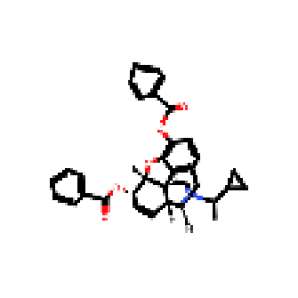 CC(C1CC1)N1CC[C@]23c4c5ccc(OC(=O)c6ccccc6)c4O[C@H]2[C@@H](OC(=O)c2ccccc2)C=C[C@H]3[C@H]1C5